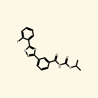 CC(C)OC(=O)NC(=O)c1cccc(-c2noc(-c3ccccc3F)n2)c1